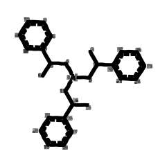 CC([CH2][Al]([CH2]C(C)c1ccccc1)[CH2]C(C)c1ccccc1)c1ccccc1